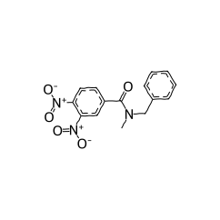 CN(Cc1ccccc1)C(=O)c1ccc([N+](=O)[O-])c([N+](=O)[O-])c1